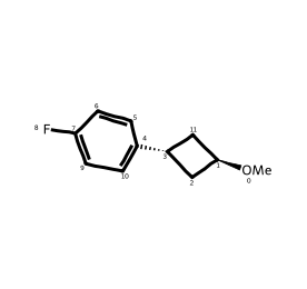 CO[C@H]1C[C@H](c2ccc(F)cc2)C1